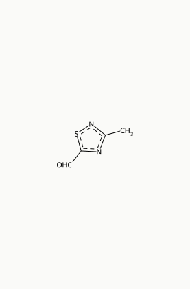 Cc1nsc(C=O)n1